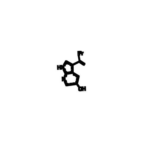 C=C(c1c[nH]c2ncc(O)cc12)C(C)C